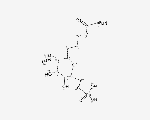 CCCCCC(=O)OCCCC1OC(COP(=O)(O)O)C(O)C(O)C1O.[NaH]